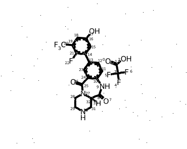 O=C(O)C(F)(F)F.O=C1Nc2ccc(-c3cc(O)cc(C(F)(F)F)c3F)cc2C(=O)N2CCNC[C@@H]12